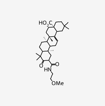 COCCNC(=O)C1C[C@@]2(C)C(CC[C@]3(C)C2CC=C2C4CC(C)(C)CC[C@]4(C(=O)O)CC[C@]23C)C(C)(C)C1=O